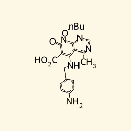 CCCCOn1c(=O)c(C(=O)O)c(NCc2ccc(N)cc2)c2c(C)ncnc21